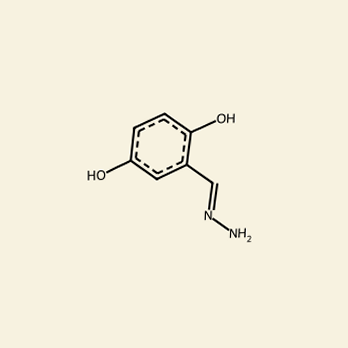 NN=Cc1cc(O)ccc1O